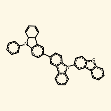 C1=CC2c3cc(-c4ccc5c(c4)c4ccccc4n5-c4ccc5sc6ccccc6c5c4)ccc3N(c3ccccc3)C2C=C1